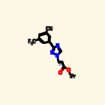 CC(C)OC(=O)/C=C/n1cnc(-c2cc(C#N)cc(C(F)(F)F)c2)n1